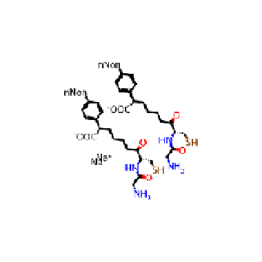 CCCCCCCCCc1ccc([C@@H](CCCCC(=O)[C@H](CS)NC(=O)CN)C(=O)[O-])cc1.CCCCCCCCCc1ccc([C@@H](CCCCC(=O)[C@H](CS)NC(=O)CN)C(=O)[O-])cc1.[Na+].[Na+]